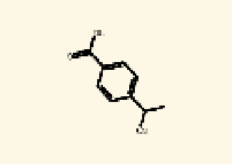 CC(C#N)c1ccc(C(=O)C(C)(C)C)cc1